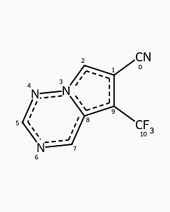 N#Cc1cn2ncncc2c1C(F)(F)F